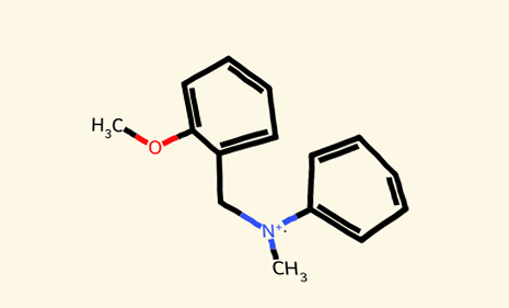 COc1ccccc1C[N+](C)c1ccccc1